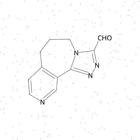 O=Cc1nnc2n1CCCc1ccncc1-2